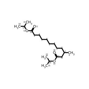 CC(CCCCCCCCC(=O)OC(C)C)CC(=O)OC(C)C